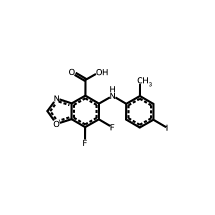 Cc1cc(I)ccc1Nc1c(F)c(F)c2ocnc2c1C(=O)O